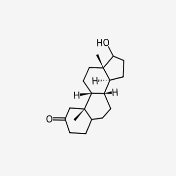 C[C@]12CC(=O)CCC1CC[C@@H]1[C@H]2CC[C@]2(C)C(O)CC[C@@H]12